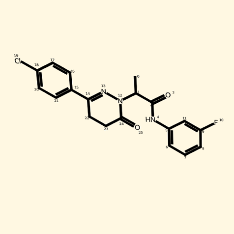 CC(C(=O)Nc1cccc(F)c1)N1N=C(c2ccc(Cl)cc2)CCC1=O